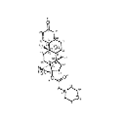 CC1(OC(=O)CN2CCOCC2)CC[C@H]2C3CCC4=CC(=O)C=C[C@]4(C)[C@H]3CC[C@@]21C